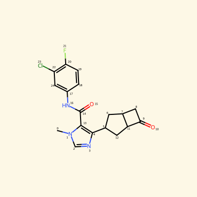 Cn1cnc(C2CC3CC(=O)C3C2)c1C(=O)Nc1ccc(F)c(Cl)c1